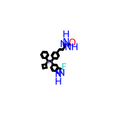 O=c1[nH]nc(C=Cc2ccc(/C(=C(\c3ccccc3)C3CCC3)c3ccc4[nH]nc(F)c4c3)cc2)[nH]1